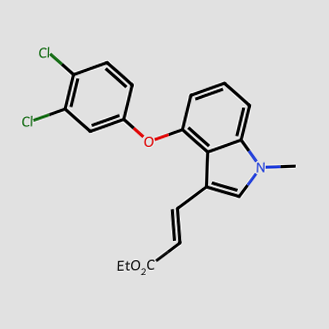 CCOC(=O)/C=C/c1cn(C)c2cccc(Oc3ccc(Cl)c(Cl)c3)c12